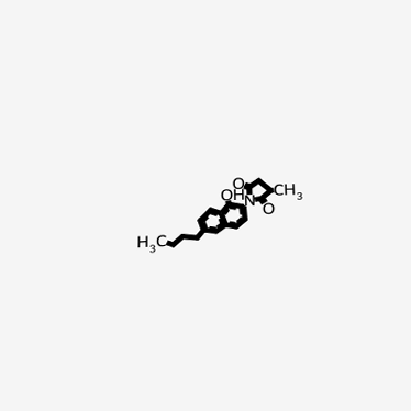 CCCCc1ccc2c(O)c(N3C(=O)CC(C)C3=O)ccc2c1